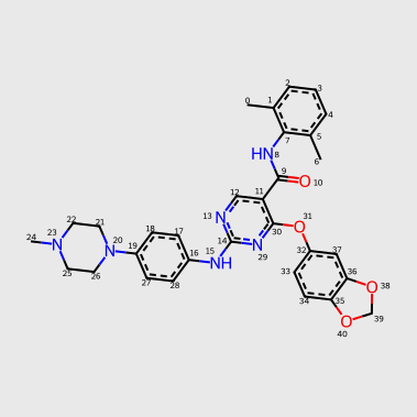 Cc1cccc(C)c1NC(=O)c1cnc(Nc2ccc(N3CCN(C)CC3)cc2)nc1Oc1ccc2c(c1)OCO2